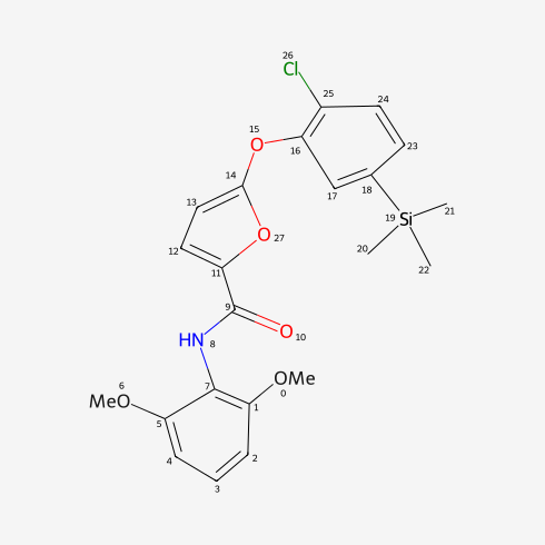 COc1cccc(OC)c1NC(=O)c1ccc(Oc2cc([Si](C)(C)C)ccc2Cl)o1